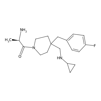 C[C@@H](N)C(=O)N1CCC(CNC2CC2)(Cc2ccc(F)cc2)CC1